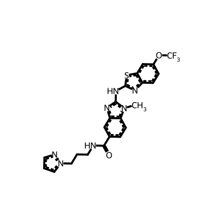 Cn1c(Nc2nc3ccc(OC(F)(F)F)cc3s2)nc2cc(C(=O)NCCCn3cccn3)ccc21